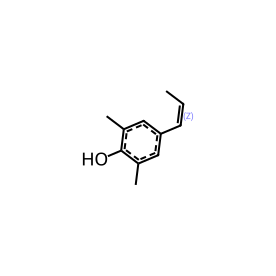 C/C=C\c1cc(C)c(O)c(C)c1